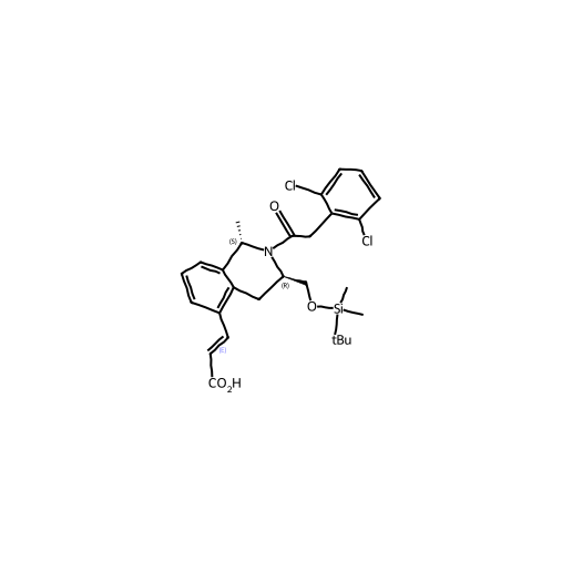 C[C@H]1c2cccc(/C=C/C(=O)O)c2C[C@H](CO[Si](C)(C)C(C)(C)C)N1C(=O)Cc1c(Cl)cccc1Cl